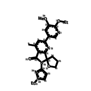 CCOc1ncc(-c2cc(C)c3c(n2)C2(CCCO2)N(c2ccn(CC)n2)C3=O)cc1OC